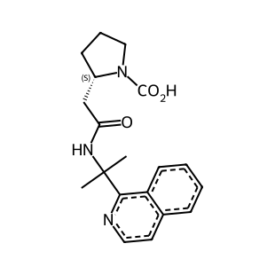 CC(C)(NC(=O)C[C@@H]1CCCN1C(=O)O)c1nccc2ccccc12